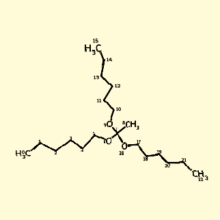 CCCCCCOC(C)(OCCCCCC)OCCCCCC